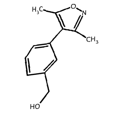 Cc1noc(C)c1-c1cccc(CO)c1